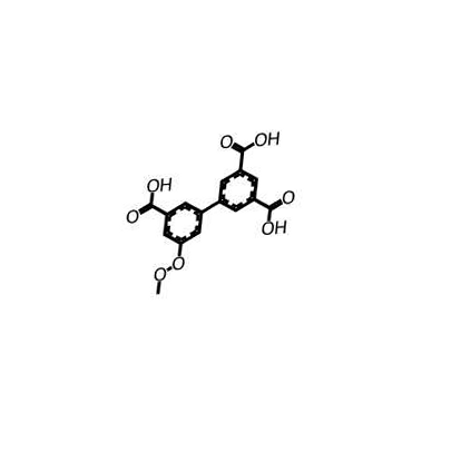 COOc1cc(C(=O)O)cc(-c2cc(C(=O)O)cc(C(=O)O)c2)c1